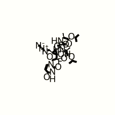 CC(C)OC(=O)[C@H](C)NP(=O)(N[C@@H](C)C(=O)OC(C)C)OC1[C@@]2(CN=[N+]=[N-])O[C@@H](n3ccc(=O)[nH]c3=O)[C@H](F)[C@@]12O